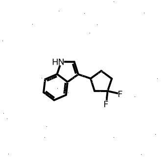 FC1(F)CCC(c2c[nH]c3ccccc23)C1